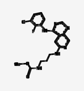 CC(C)(C)OC(=O)NCCCNc1cc2c(Nc3cccc(Cl)c3F)ncnc2cn1